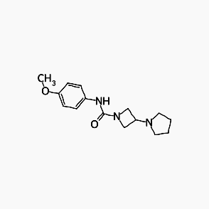 COc1ccc(NC(=O)N2CC(N3CCCC3)C2)cc1